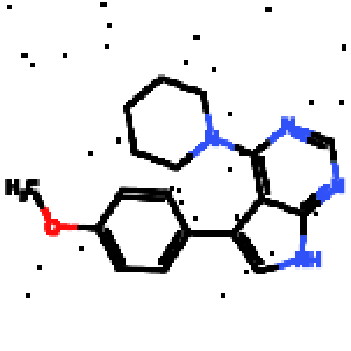 COc1ccc(-c2c[nH]c3ncnc(N4CCCCC4)c23)cc1